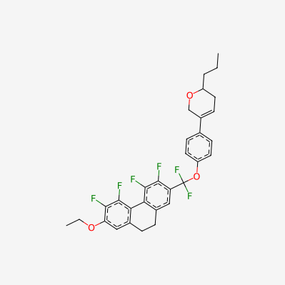 CCCC1CC=C(c2ccc(OC(F)(F)c3cc4c(c(F)c3F)-c3c(cc(OCC)c(F)c3F)CC4)cc2)CO1